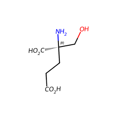 N[C@@](CO)(CCC(=O)O)C(=O)O